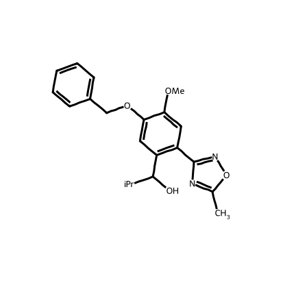 COc1cc(-c2noc(C)n2)c(C(O)C(C)C)cc1OCc1ccccc1